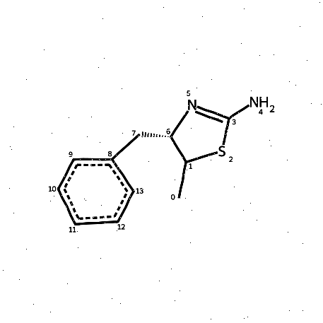 CC1SC(N)=N[C@H]1Cc1ccccc1